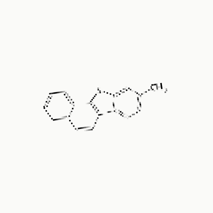 Cc1ccc2c(c1)sc1c3ccccc3ccc21